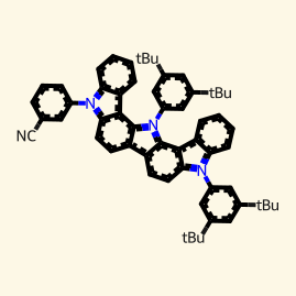 CC(C)(C)c1cc(-n2c3ccccc3c3c2ccc2c4ccc5c(c6ccccc6n5-c5cccc(C#N)c5)c4n(-c4cc(C(C)(C)C)cc(C(C)(C)C)c4)c23)cc(C(C)(C)C)c1